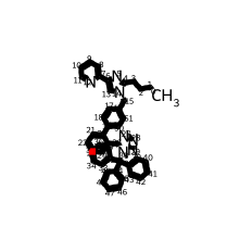 CCCCc1nc(-c2ccccn2)cn1Cc1ccc(-c2ccccc2-c2nnnn2C(c2ccccc2)(c2ccccc2)c2ccccc2)cc1